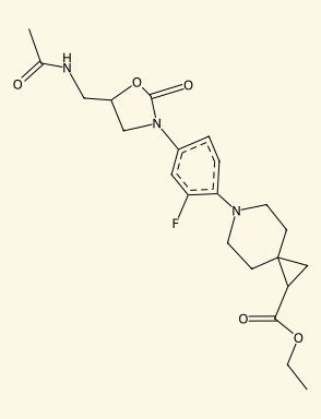 CCOC(=O)C1CC12CCN(c1ccc(N3CC(CNC(C)=O)OC3=O)cc1F)CC2